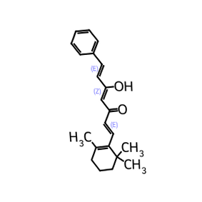 CC1=C(/C=C/C(=O)/C=C(O)/C=C/c2ccccc2)C(C)(C)CCC1